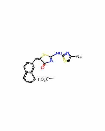 CC(=O)O.O=C1N=C(Nc2n[c]([Na])cs2)SC1=Cc1ccc2ccccc2c1